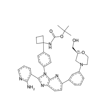 CC(C)(C)OC(=O)NC1(c2ccc(-n3c(-c4cccnc4N)nc4ccc(-c5cccc(N6CCO[C@H](CO)C6)c5)nc43)cc2)CCC1